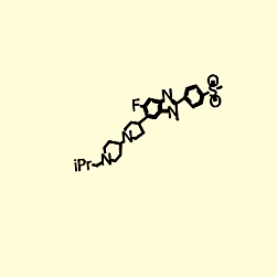 CC(C)CN1CCC(N2CCC(c3cc4c(cc3F)nc(-c3ccc(S(C)(=O)=O)cc3)n4C)CC2)CC1